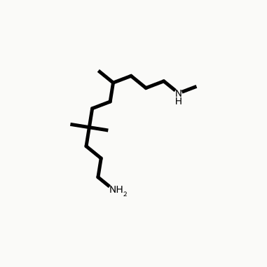 CNCCCC(C)CCC(C)(C)CCCN